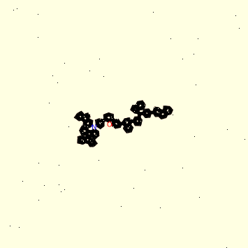 CC1(C)c2ccccc2-c2ccc(N(c3ccc(-c4cccc5c4oc4ccc(-c6ccc(-c7cccc(C(c8ccc(-c9ccc%10c(ccc%11ccccc%11%10)c9)cc8)c8cccc9ccccc89)c7)c7ccccc67)cc45)cc3)c3cccc4c3-c3ccccc3C43c4ccccc4-c4ccccc43)cc21